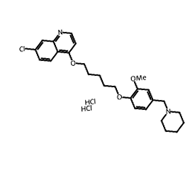 COc1cc(CN2CCCCC2)ccc1OCCCCCOc1ccnc2cc(Cl)ccc12.Cl.Cl